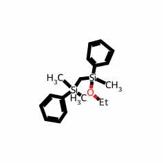 CCO[Si](C)(C[Si](C)(C)c1ccccc1)c1ccccc1